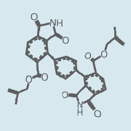 C=C(C)COC(=O)c1ccc2c(c1-c1ccc(-c3c(C(=O)OCC(=C)C)ccc4c3C(=O)NC4=O)cc1)C(=O)NC2=O